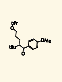 CCCOCCCC(C(=O)c1ccc(OC)cc1)C(C)(C)C